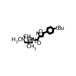 CN(C)CC(C)(C)CNC(=O)c1cc(-c2ccc(C(C)(C)C)cc2)on1